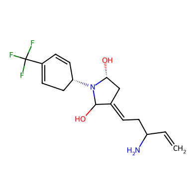 C=CC(N)C/C=C1\C[C@@H](O)N([C@H]2C=CC(C(F)(F)F)=CC2)C1O